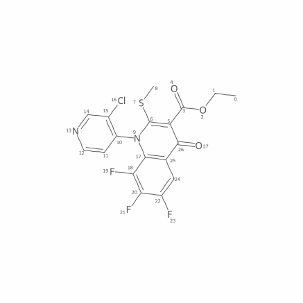 CCOC(=O)c1c(SC)n(-c2ccncc2Cl)c2c(F)c(F)c(F)cc2c1=O